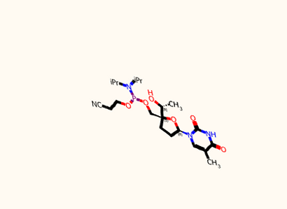 Cc1cn([C@H]2CC[C@](COP(OCCC#N)N(C(C)C)C(C)C)([C@@H](C)O)O2)c(=O)[nH]c1=O